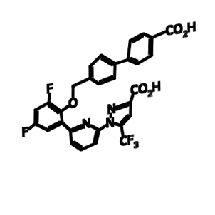 O=C(O)c1ccc(-c2ccc(COc3c(F)cc(F)cc3-c3cccc(-n4nc(C(=O)O)cc4C(F)(F)F)n3)cc2)cc1